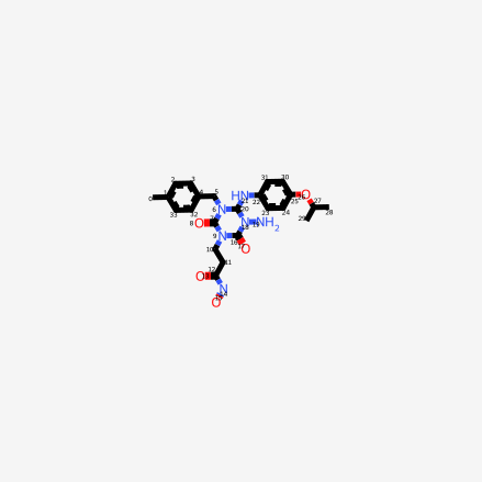 Cc1ccc(CN2C(=O)N(CCC(=O)N=O)C(=O)N(N)C2Nc2ccc(OC(C)C)cc2)cc1